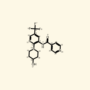 O=C(Nc1cc(C(F)(F)F)cnc1N1CCC(O)CC1)c1ccncc1